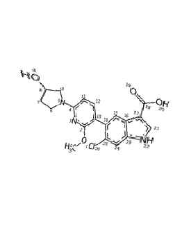 COc1nc(N2CCC(O)C2)ccc1-c1cc2c(C(=O)O)c[nH]c2cc1Cl